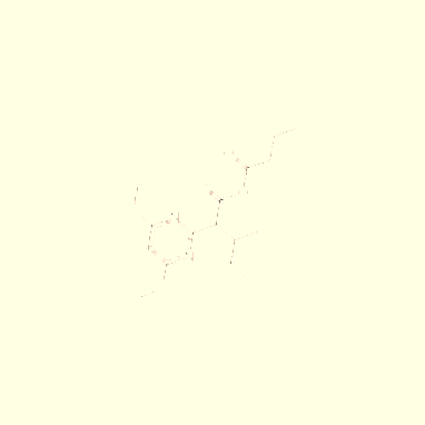 CCCC(=O)OC(=O)C(c1nc(OC)cc(OC)n1)C(C)CC